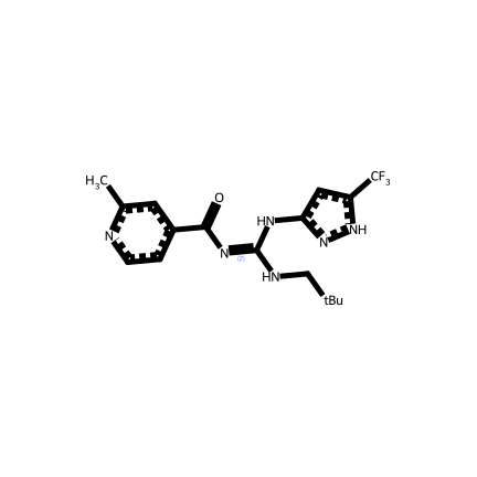 Cc1cc(C(=O)/N=C(/NCC(C)(C)C)Nc2cc(C(F)(F)F)[nH]n2)ccn1